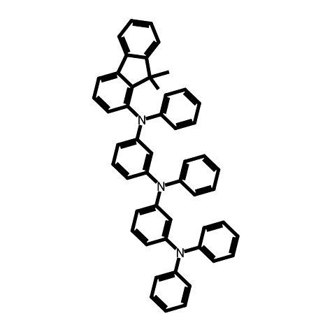 CC1(C)c2ccccc2-c2cccc(N(c3ccccc3)c3cccc(N(c4ccccc4)c4cccc(N(c5ccccc5)c5ccccc5)c4)c3)c21